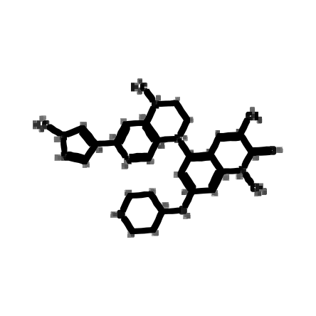 Cc1cc2c(N3CCN(C)c4cc(-c5cnn(C)c5)ncc43)cc(OC3CCOCC3)cc2n(C)c1=O